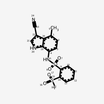 Cc1ccc(NS(=O)(=O)c2ccccc2S(=O)(=O)F)c2[nH]cc(C#N)c12